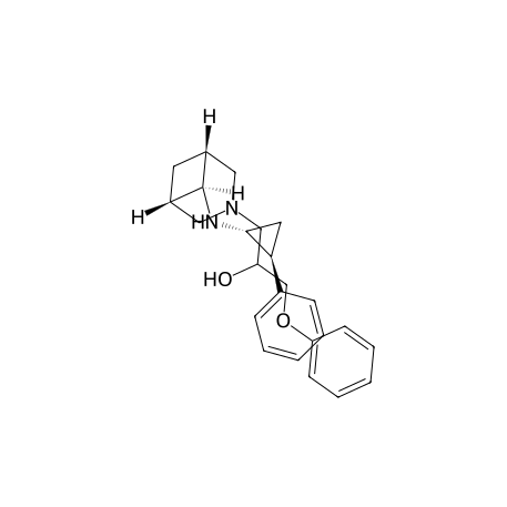 OC(COc1ccccc1)CN1C[C@H]2C[C@@H](C1)[C@@H]2N[C@@H]1C[C@H]1c1ccccc1